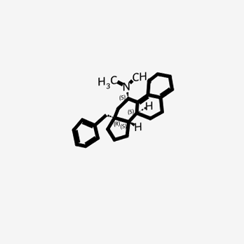 CN(C)[C@H]1C[C@]2(Cc3ccccc3)CCC[C@H]2[C@@H]2CCC3=CCCCC3=C21